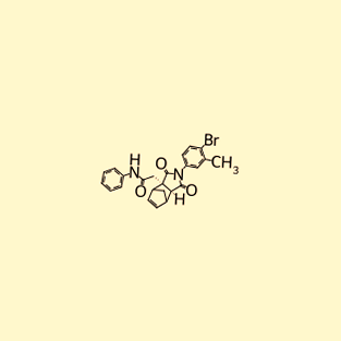 Cc1cc(N2C(=O)[C@H]3C4C=CC(C4)[C@@]3(CC(=O)Nc3ccccc3)C2=O)ccc1Br